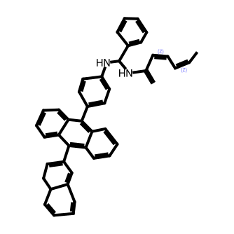 C=C(/C=C\C=C/C)NC(Nc1ccc(-c2c3ccccc3c(C3=CCC4C=CC=CC4=C3)c3ccccc23)cc1)c1ccccc1